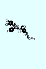 COCCNCc1ccc2c(c1)OCC[C@H]2NC(=O)C[C@@H](NS(=O)(=O)c1ccc(Cl)c(Cl)c1)c1ccc(F)cc1